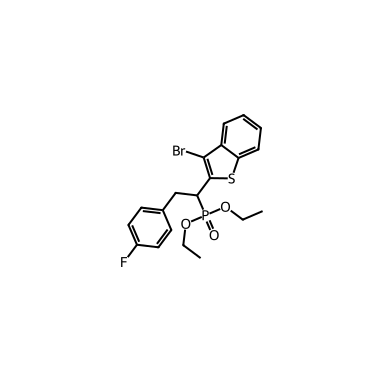 CCOP(=O)(OCC)C(Cc1ccc(F)cc1)c1sc2ccccc2c1Br